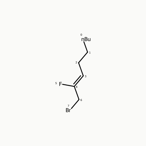 CCCCCCC=C(F)CBr